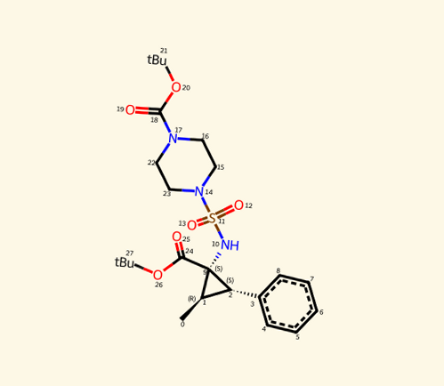 C[C@@H]1[C@@H](c2ccccc2)[C@]1(NS(=O)(=O)N1CCN(C(=O)OC(C)(C)C)CC1)C(=O)OC(C)(C)C